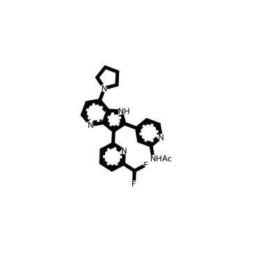 CC(=O)Nc1cc(-c2[nH]c3c(N4CCCC4)ccnc3c2-c2cccc(C(F)F)n2)ccn1